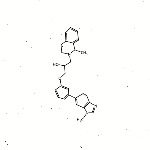 CC1c2ccccc2CCN1CC(O)COc1cccc(-c2ccc3ncn(C)c3c2)c1